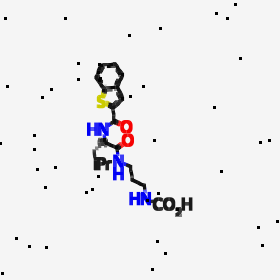 CC(C)C[C@H](NC(=O)c1cc2ccccc2s1)C(=O)NCCCNC(=O)O